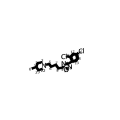 CC1CCN(CCCCc2nc(-c3ccc(Cl)cc3Cl)no2)CC1